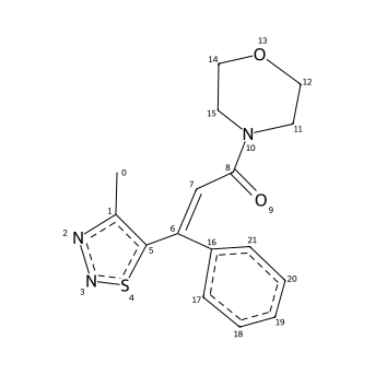 Cc1nnsc1/C(=C/C(=O)N1CCOCC1)c1ccccc1